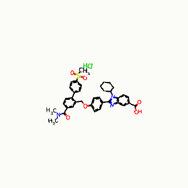 CN(C)C(=O)c1ccc(-c2ccc(S(C)(=O)=O)cc2)c(COc2ccc(-c3nc4cc(C(=O)O)ccc4n3C3CCCCC3)cc2)c1.Cl